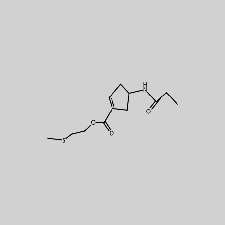 CCC(=O)NC1CC=C(C(=O)OCCSC)C1